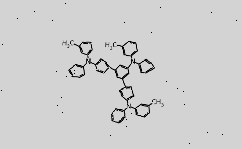 Cc1cccc(N(c2ccccc2)c2ccc(-c3cc(-c4ccc(N(c5ccccc5)c5cccc(C)c5)cc4)cc(N(c4ccccc4)c4cccc(C)c4)c3)cc2)c1